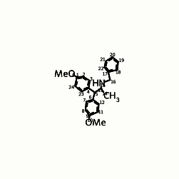 COc1ccc(C(c2ccc(OC)cc2)C(C)NCc2ccccc2)cc1